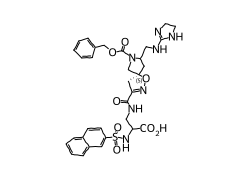 O=C(NCC(NS(=O)(=O)c1ccc2ccccc2c1)C(=O)O)C1=NO[C@]2(C1)CC(CNC1=NCCN1)N(C(=O)OCc1ccccc1)C2